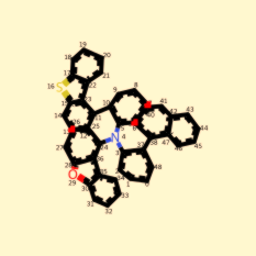 c1ccc(N(c2ccccc2-c2cccc3sc4ccccc4c23)c2cccc3oc4ccccc4c23)c(-c2cccc3ccccc23)c1